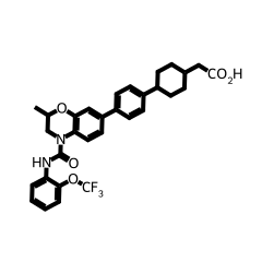 CC1CN(C(=O)Nc2ccccc2OC(F)(F)F)c2ccc(-c3ccc(C4CCC(CC(=O)O)CC4)cc3)cc2O1